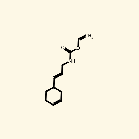 C=COC(=O)NC/C=C/C1CC=CCC1